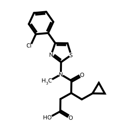 CN(C(=O)C(CC(=O)O)CC1CC1)c1nc(-c2ccccc2Cl)cs1